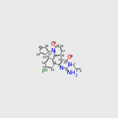 C=CCn1c(N)nc(-c2cccc(F)c2)c(-c2ccc(=O)n(-c3ccsc3)c2)c1=O